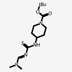 CN(C)C=NC(=S)NC1CCN(C(=O)OC(C)(C)C)CC1